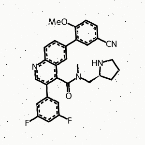 COc1ccc(C#N)cc1-c1ccc2ncc(-c3cc(F)cc(F)c3)c(C(=O)N(C)C[C@@H]3CCCN3)c2c1